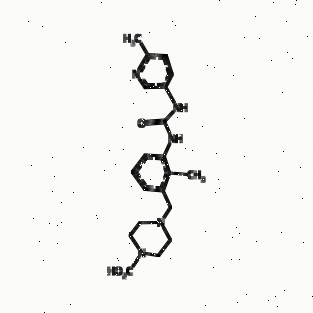 Cc1ccc(NC(=O)Nc2cccc(CN3CCN(C(=O)O)CC3)c2C)cn1